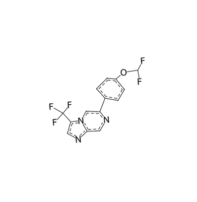 FC(F)Oc1ccc(-c2cn3c(C(F)(F)F)cnc3cn2)cc1